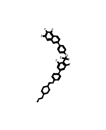 CCCC1CCC(CCc2ccc(-c3cc(F)c(C(F)(F)Oc4ccc(-c5ccc6c(F)c(F)c(F)cc6c5)cc4)c(F)c3)cc2)CC1